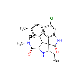 CN(C)C(=O)C1NC(CC(C)(C)C)C2(C(=O)Nc3cc(Cl)ccc32)C1c1cccc(C(F)(F)F)c1